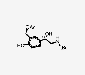 CC(=O)OCc1cc([C@@H](O)CNC(C)(C)C)ccc1O